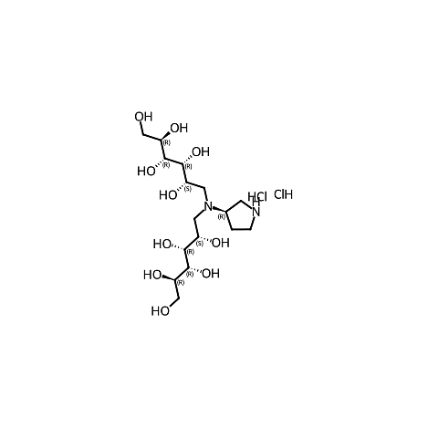 Cl.Cl.OC[C@@H](O)[C@@H](O)[C@H](O)[C@@H](O)CN(C[C@H](O)[C@@H](O)[C@H](O)[C@H](O)CO)[C@@H]1CCNC1